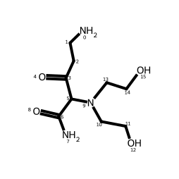 NCCC(=O)C(C(N)=O)N(CCO)CCO